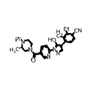 CCc1c(C#N)ccc(-c2cnn(-c3ccc(C(=O)N4CCN(C(C)C)[C@H](C)C4)cn3)c2O)c1C